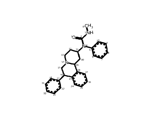 CNC(=O)N(c1ccccc1)C1CCN2CC(c3ccccc3)c3ccccc3C2C1